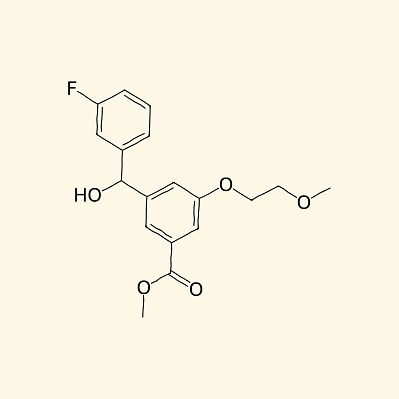 COCCOc1cc(C(=O)OC)cc(C(O)c2cccc(F)c2)c1